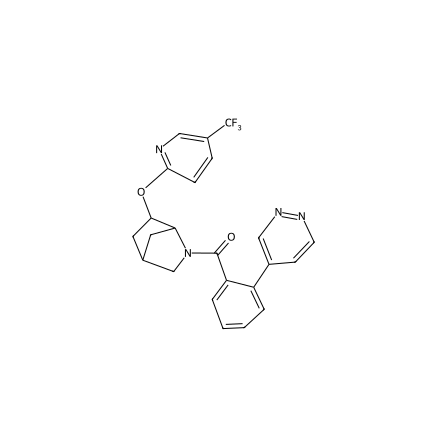 O=C(c1ccccc1-c1ccnnc1)N1CC2CC(Oc3ccc(C(F)(F)F)cn3)C1C2